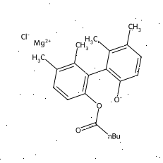 CCCCC(=O)Oc1ccc(C)c(C)c1-c1c([O-])ccc(C)c1C.[Cl-].[Mg+2]